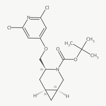 CC(C)(C)OC(=O)N1C[C@H]2C[C@H]2C[C@H]1COc1cc(Cl)nc(Cl)c1